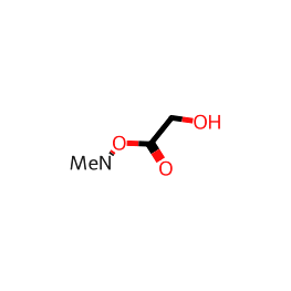 CNOC(=O)CO